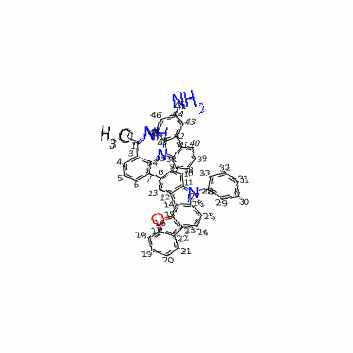 CC(=N)c1cccc(-c2ccc3c(c2)c2c4oc5ccccc5c4ccc2n3-c2ccccc2)c1-n1c2ccccc2c2cc(N)ccc21